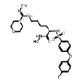 N#C/N=C(\NCCCC[C@@H](NS(=O)(=O)c1ccc(Oc2ccc(F)cc2)cc1)C(=O)NO)N1CCOCC1